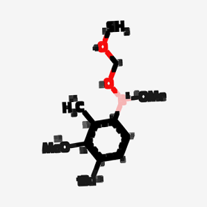 COB(OCO[SiH3])c1ccc(C(C)(C)C)c(OC)c1C